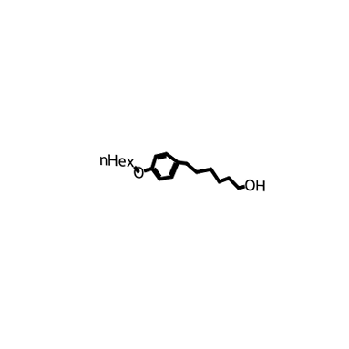 CCCCCCOc1ccc(CCCCCCO)cc1